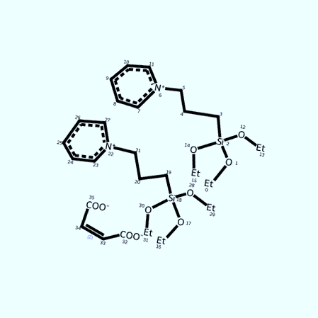 CCO[Si](CCC[n+]1ccccc1)(OCC)OCC.CCO[Si](CCC[n+]1ccccc1)(OCC)OCC.O=C([O-])/C=C\C(=O)[O-]